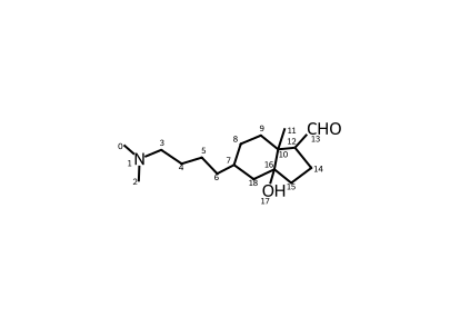 CN(C)CCCCC1CCC2(C)C(C=O)CCC2(O)C1